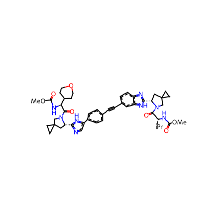 COC(=O)N[C@H](C(=O)N1CC2(CC2)C[C@H]1c1nc2ccc(C#Cc3ccc(-c4cnc([C@@H]5CC6(CC6)CN5C(=O)[C@@H](NC(=O)OC)C5CCOCC5)[nH]4)cc3)cc2[nH]1)C(C)C